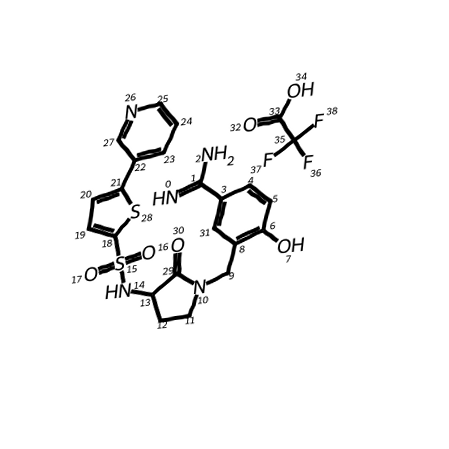 N=C(N)c1ccc(O)c(CN2CCC(NS(=O)(=O)c3ccc(-c4cccnc4)s3)C2=O)c1.O=C(O)C(F)(F)F